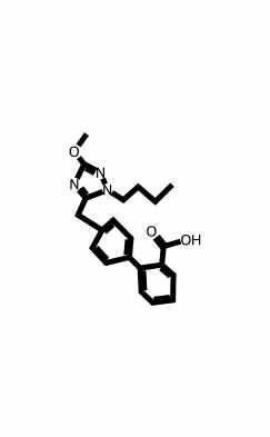 CCCCn1nc(OC)nc1Cc1ccc(-c2ccccc2C(=O)O)cc1